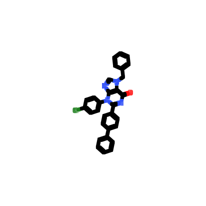 O=c1nc(-c2ccc(-c3ccccc3)cc2)n(-c2ccc(Cl)cc2)c2ncn(Cc3ccccc3)c12